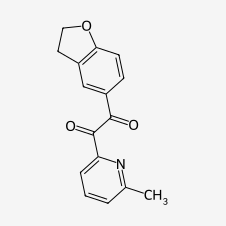 Cc1cccc(C(=O)C(=O)c2ccc3c(c2)CCO3)n1